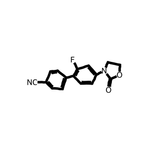 N#Cc1ccc(-c2ccc(N3CCOC3=O)cc2F)cc1